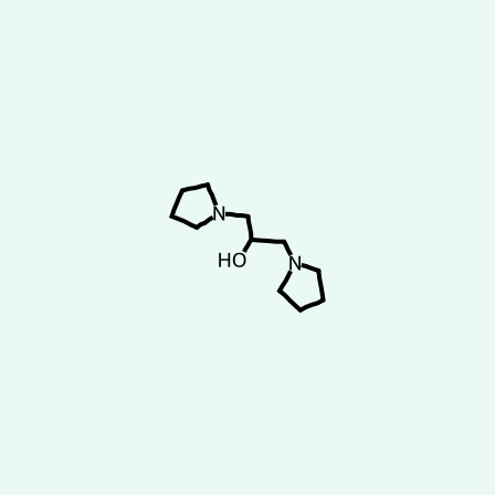 OC(CN1CCCC1)CN1CCCC1